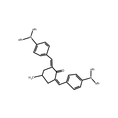 CCCN(CCC)c1ccc(/C=C2/CC(C)C/C(=C\c3ccc(N(CCC)CCC)cc3)C2=O)cc1